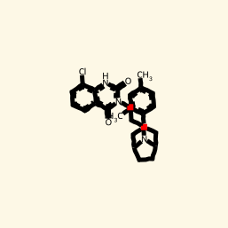 Cc1ccc(N2CC3CCC(C2)N3CCCn2c(=O)[nH]c3c(Cl)cccc3c2=O)c(C)c1